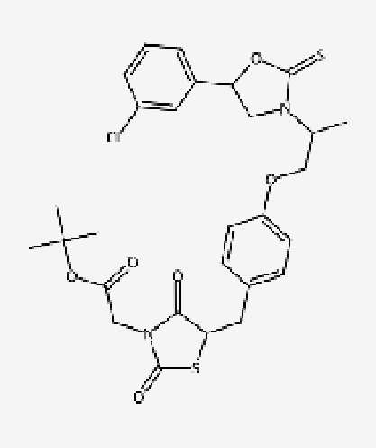 CC(COc1ccc(CC2SC(=O)N(CC(=O)OC(C)(C)C)C2=O)cc1)N1CC(c2cccc(Cl)c2)OC1=S